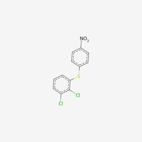 O=[N+]([O-])c1ccc(Sc2cccc(Cl)c2Cl)cc1